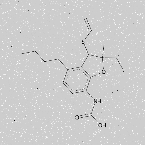 C=CSC1c2c(CCCC)ccc(NC(=O)O)c2OC1(C)CC